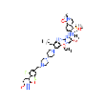 CCc1cc(Nc2ncc(Br)c(Nc3ccc4c(=O)n(C)ccc4c3P(C)(C)=O)n2)c(OC)cc1N1CCC(N2CCN(CCc3cc(F)c(C4CCC(=O)NC4=O)c(F)c3)CC2)CC1